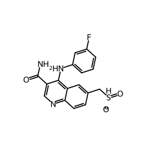 NC(=O)c1cnc2ccc(C[SH](=O)=O)cc2c1Nc1cccc(F)c1